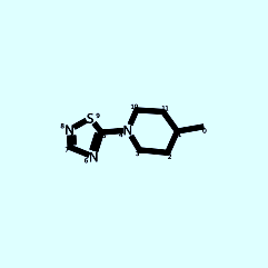 CC1CCN(c2ncns2)CC1